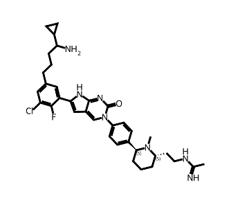 CC(=N)NCC[C@@H]1CCC[C@@H](c2ccc(-n3cc4cc(-c5cc(CCCC(N)C6CC6)cc(Cl)c5F)[nH]c4nc3=O)cc2)N1C